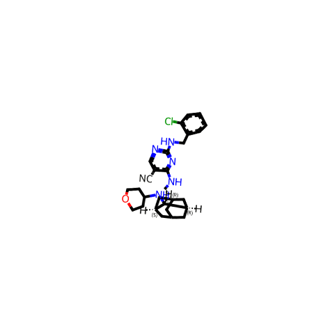 N#Cc1cnc(NCc2ccccc2Cl)nc1NC[C@@]12CC3C[C@H](C1)[C@@H](NC1CCOCC1)[C@@H](C3)C2